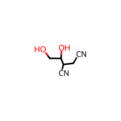 N#CCC(C#N)C(O)CO